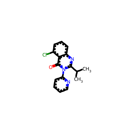 CC(C)c1nc2cccc(Cl)c2c(=O)n1-c1ccccn1